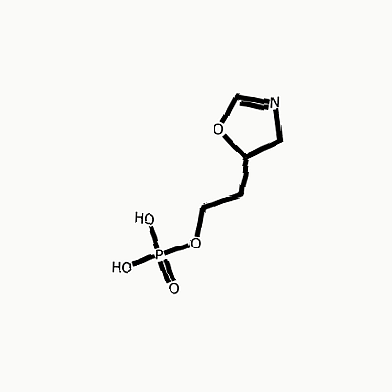 O=P(O)(O)OCCC1CN=CO1